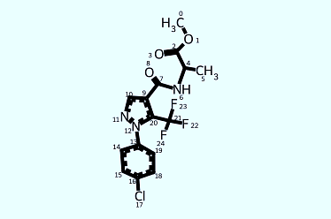 COC(=O)C(C)NC(=O)c1cnn(-c2ccc(Cl)cc2)c1C(F)(F)F